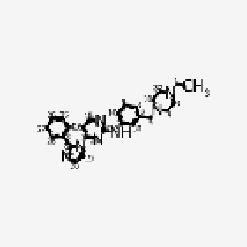 CCN1CCN(Cc2cccc(Nc3nccc(-n4ccnc4-c4ccccc4)n3)c2)CC1